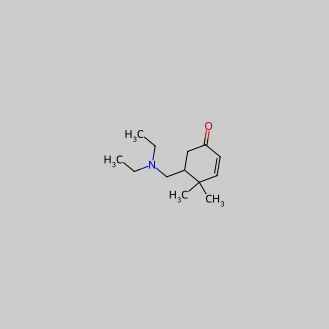 CCN(CC)CC1CC(=O)C=CC1(C)C